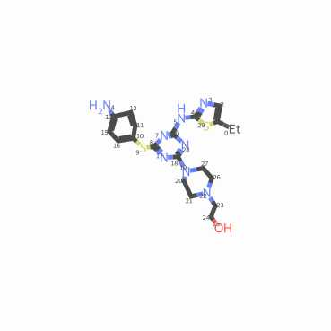 CCc1cnc(Nc2nc(Sc3ccc(N)cc3)nc(N3CCN(CCO)CC3)n2)s1